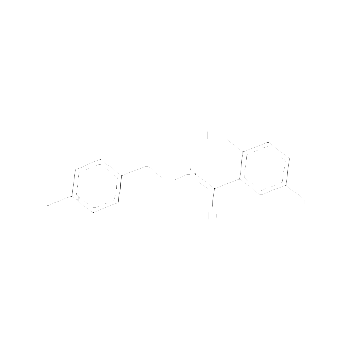 CC/C(=N\OCc1ccc(Cl)cc1)c1cc(Cl)ccc1C(F)(F)F